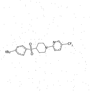 CC(C)(C)c1ccc(S(=O)(=O)C2CCN(c3ccc(C(F)(F)F)cn3)CC2)cc1